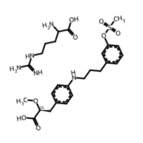 CO[C@@H](Cc1ccc(NCCCc2cccc(OS(C)(=O)=O)c2)cc1)C(=O)O.N=C(N)NCCCC(N)C(=O)O